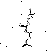 C=C(C)COC(C)OC(=O)OOOC(C)(C)C